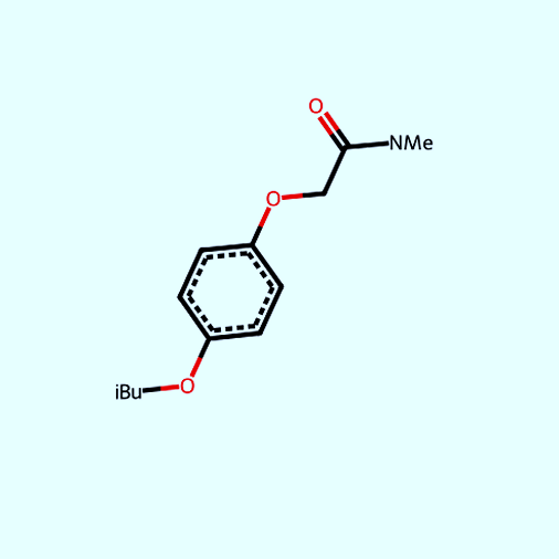 CCC(C)Oc1ccc(OCC(=O)NC)cc1